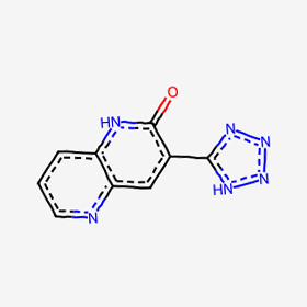 O=c1[nH]c2cccnc2cc1-c1nnn[nH]1